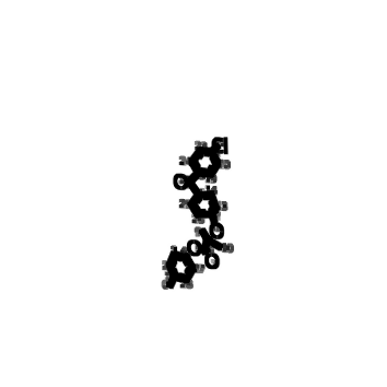 Cc1ccc(OC(=O)C(C)(C)Oc2ccc(C(=O)c3ccc(Cl)cc3)cc2)cc1